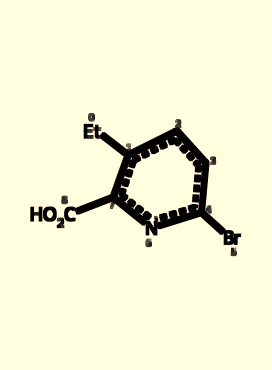 CCc1ccc(Br)nc1C(=O)O